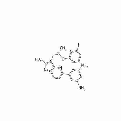 Cc1nc2ccc(-c3cc(N)nc(N)c3)nc2n1C[C@H](C)Oc1cccc(F)n1